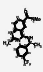 CNC(=O)c1cc2c(N[C@H](C)c3cccc(C(F)(F)F)c3)nc(C)nc2cn1